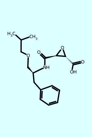 CC(C)COC[C@H](Cc1ccccc1)NC(=O)[C@H]1O[C@@H]1C(=O)O